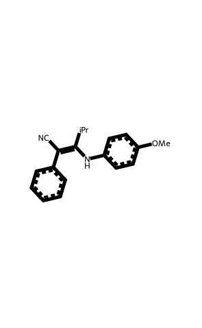 COc1ccc(N/C(=C(/C#N)c2ccccc2)C(C)C)cc1